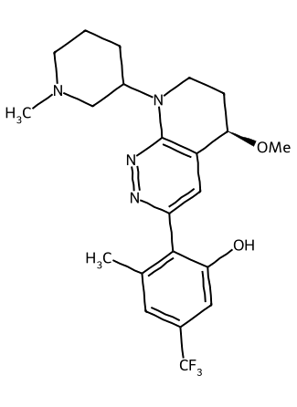 CO[C@@H]1CCN(C2CCCN(C)C2)c2nnc(-c3c(C)cc(C(F)(F)F)cc3O)cc21